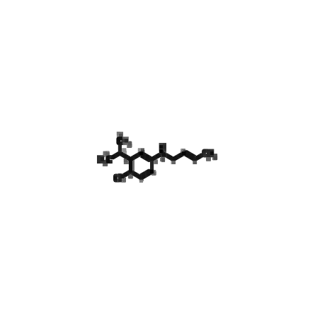 CC=CCNc1ccc(Cl)c(C(C)C)c1